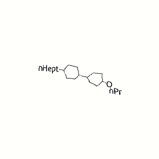 CCCCCCCC1CCC(C2CCC(OCCC)CC2)CC1